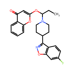 CCC(Oc1cc(=O)c2ccccc2o1)N1CCC(c2noc3cc(F)ccc23)CC1